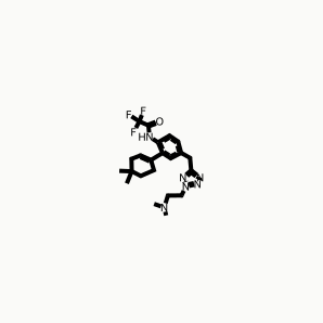 CN(C)CCn1nnc(Cc2ccc(NC(=O)C(F)(F)F)c(C3=CCC(C)(C)CC3)c2)n1